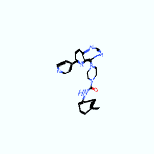 Cc1cccc(NC(=O)N2CCN(c3ncnc4ccc(-c5ccncc5)nc34)CC2)c1